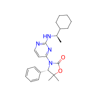 C[C@@H](Nc1nccc(N2C(=O)OC(C)(C)[C@@H]2c2ccccc2)n1)C1CCCCC1